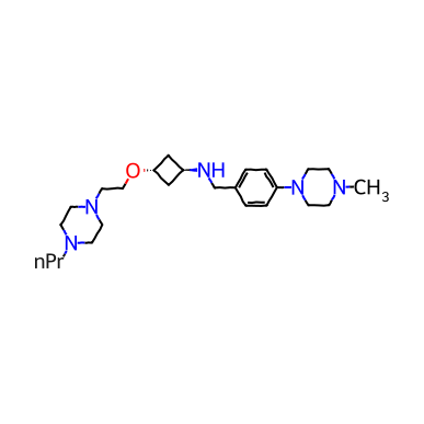 CCCN1CCN(CCO[C@H]2C[C@H](NCc3ccc(N4CCN(C)CC4)cc3)C2)CC1